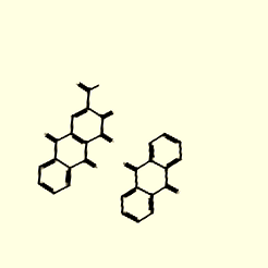 O=C(O)c1cc2c(=O)c3ccccc3c(=O)c=2c(=O)c1=O.O=C1c2ccccc2C(=O)c2ccccc21